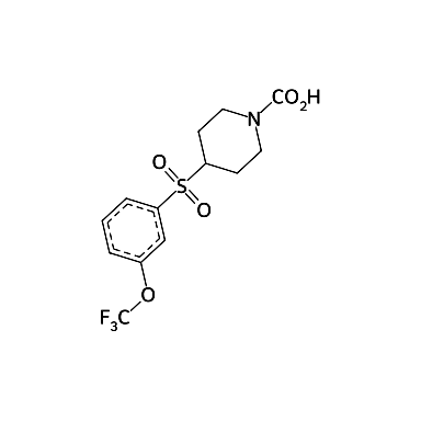 O=C(O)N1CCC(S(=O)(=O)c2cccc(OC(F)(F)F)c2)CC1